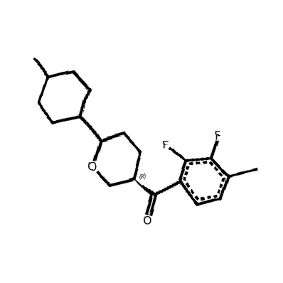 Cc1ccc(C(=O)[C@@H]2CCC(C3CCC(C)CC3)OC2)c(F)c1F